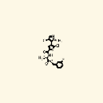 C[C@H](NC(=O)c1cc(-c2c(Cl)cnn2C)c(Cl)s1)C(=O)OCc1cccc(F)c1